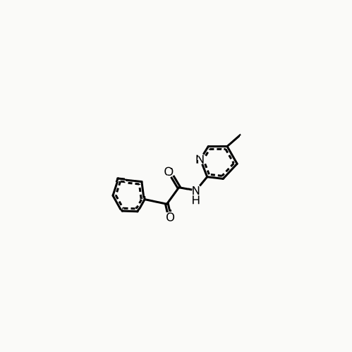 Cc1ccc(NC(=O)C(=O)c2ccccc2)nc1